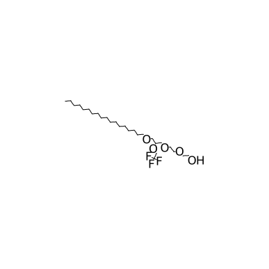 CCCCCCCCCCCCCCCCCCOCC(COCCOCCO)OCC(F)(F)F